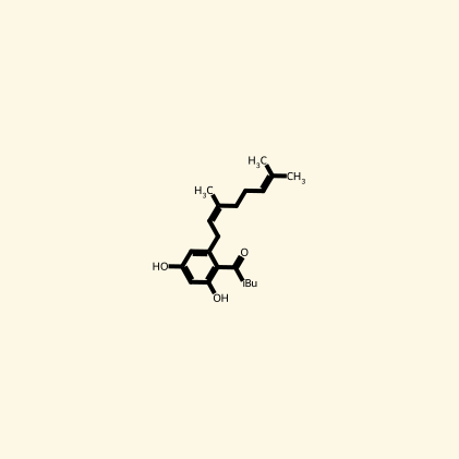 CCC(C)C(=O)c1c(O)cc(O)cc1CC=C(C)CCC=C(C)C